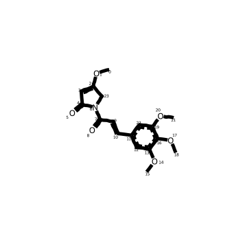 COC1=CC(=O)N(C(=O)C=Cc2cc(OC)c(OC)c(OC)c2)C1